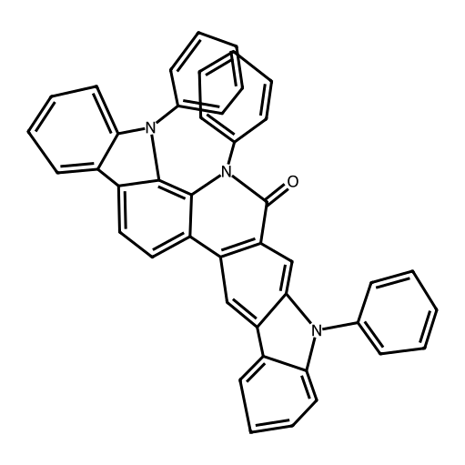 O=c1c2cc3c(cc2c2ccc4c5ccccc5n(-c5ccccc5)c4c2n1-c1ccccc1)c1ccccc1n3-c1ccccc1